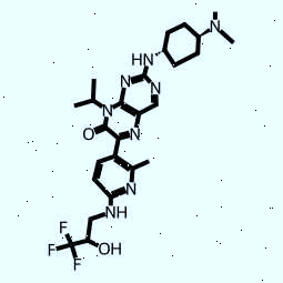 Cc1nc(NCC(O)C(F)(F)F)ccc1-c1nc2cnc(N[C@H]3CC[C@H](N(C)C)CC3)nc2n(C(C)C)c1=O